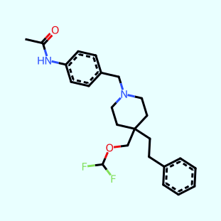 CC(=O)Nc1ccc(CN2CCC(CCc3ccccc3)(COC(F)F)CC2)cc1